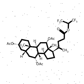 CC(=O)O[C@@H]1CC[C@@]2(C)[C@@H](C1)C[C@@H](OC(C)=O)[C@@H]1[C@@H]2C[C@H](OC(C)=O)[C@]2(C)[C@@H](C(C)CCC(=O)OC(C(F)(F)F)C(F)(F)F)CC[C@@H]12